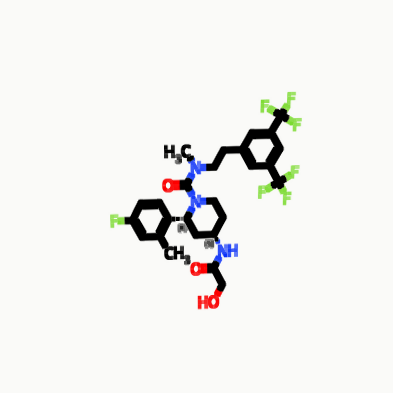 Cc1cc(F)ccc1[C@H]1C[C@@H](NC(=O)CO)CCN1C(=O)N(C)CCc1cc(C(F)(F)F)cc(C(F)(F)F)c1